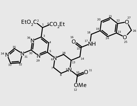 CCOC(=O)C(C(=O)OCC)c1cc(N2CCN(C(=O)OC)C(CC(=O)NCc3ccc4c(c3)OCO4)C2)nc(-n2ccnc2)n1